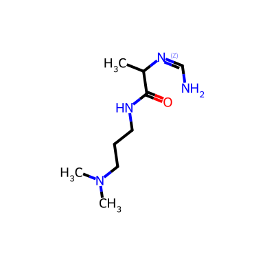 CC(/N=C\N)C(=O)NCCCN(C)C